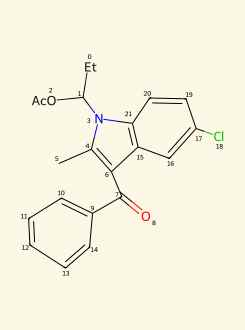 CCC(OC(C)=O)n1c(C)c(C(=O)c2ccccc2)c2cc(Cl)ccc21